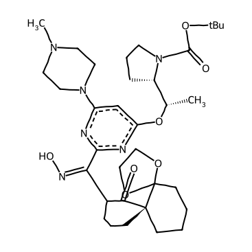 C[C@H](Oc1cc(N2CCN(C)CC2)nc(/C(=N\O)C2CCC[C@@]3(CCCCC34OCCO4)C2=O)n1)[C@@H]1CCCN1C(=O)OC(C)(C)C